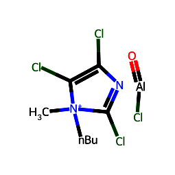 CCCC[N+]1(C)C(Cl)=NC(Cl)=C1Cl.[O]=[Al][Cl]